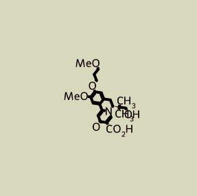 COCCCOc1cc2c(cc1OC)-c1cc(=O)c(C(=O)O)cn1[C@@H](C(C)(C)CO)C2